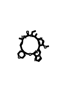 CCN1C(=O)NC(C)/C=C/CC2(CCOCC2)COc2nc(cn3ccnc23)-c2cc(ncc2OC)C1C